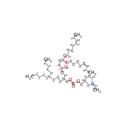 [CH2]CCCCC(CCCCC)CCCC(COC(=O)CCC(OCCCC/C=C\CC)OCCCC/C=C\CC)COC(=O)OCC1CCCN(CC)C1